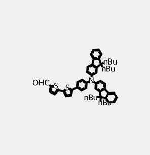 CCCCC1(CCCC)c2ccccc2-c2ccc(N(c3ccc(-c4ccc(-c5ccc(C=O)s5)s4)cc3)c3ccc4c(c3)C(CCCC)(CCCC)C3CC=CC=C43)cc21